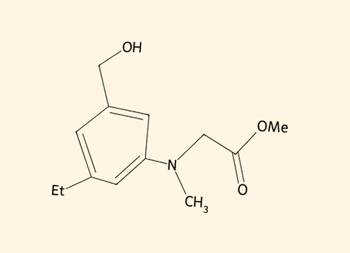 CCc1cc(CO)cc(N(C)CC(=O)OC)c1